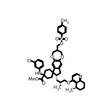 COC(=O)C1(Nc2cccc(Cl)c2)CCC2(CC1)c1cc3c(cc1C[C@@H]2C[C@@H](C)COc1ccnc2c1[C@H](C)CCC2)OCC(COS(=O)(=O)c1ccc(C)cc1)CO3